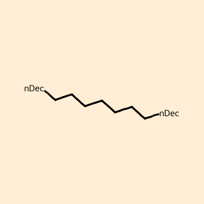 CC[CH]CCCCCCCCCCCCCCCCCCCCCCCC